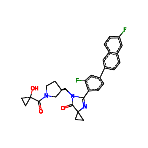 O=C(N1CC[C@@H](CN2C(=O)C3(CC3)N=C2c2ccc(-c3ccc4cc(F)ccc4c3)cc2F)C1)C1(O)CC1